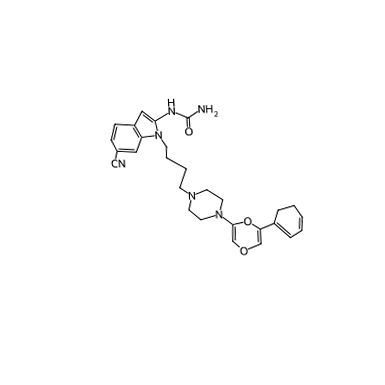 N#Cc1ccc2cc(NC(N)=O)n(CCCCN3CCN(C4=COC=C(C5=CC=CCC5)O4)CC3)c2c1